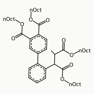 CCCCCCCCOC(=O)c1ccc(-c2ccccc2C(C(=O)OCCCCCCCC)C(C)C(=O)OCCCCCCCC)cc1C(=O)OCCCCCCCC